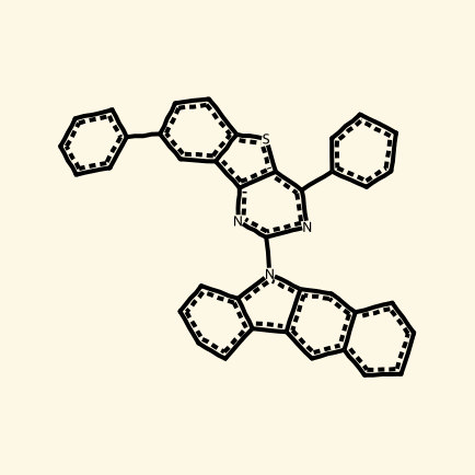 c1ccc(-c2ccc3sc4c(-c5ccccc5)nc(-n5c6ccccc6c6cc7ccccc7cc65)nc4c3c2)cc1